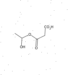 CC(O)OC(=O)CC(=O)O